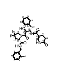 Cc1ccccc1CNC(=O)[C@@H]1CC(F)(F)CN1C(=O)[C@@H](O)[C@H](Cc1ccccc1)NC(=O)C1=NNC(=O)CC1